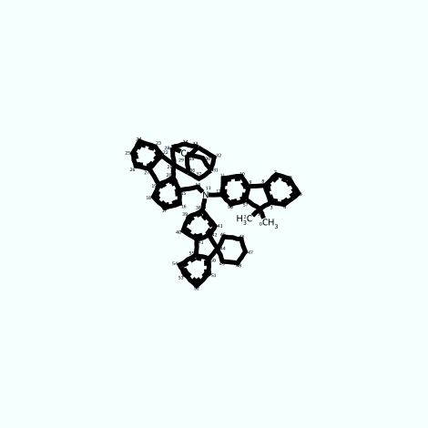 CC1(C)c2ccccc2-c2ccc(N(Cc3cccc4c3C3(c5ccccc5-4)C4CCC5CC(C4)CC3C5)c3ccc4c(c3)C3(CCCCC3)c3ccccc3-4)cc21